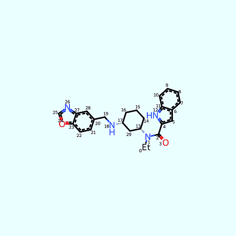 CCN(C(=O)c1cc2ccccc2[nH]1)[C@H]1CCC[C@@H](NCc2ccc3ocnc3c2)C1